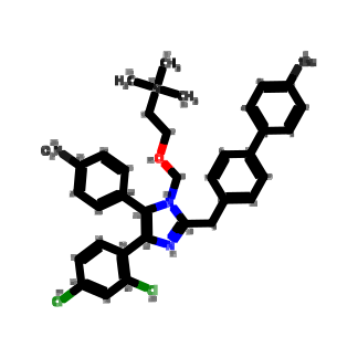 CC(C)(C)c1ccc(-c2ccc(Cc3nc(-c4ccc(Cl)cc4Cl)c(-c4ccc([N+](=O)[O-])cc4)n3COCC[Si](C)(C)C)cc2)cc1